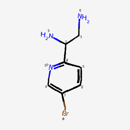 NCC(N)c1ccc(Br)cn1